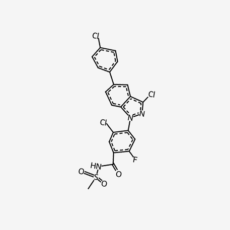 CS(=O)(=O)NC(=O)c1cc(Cl)c(-n2nc(Cl)c3cc(-c4ccc(Cl)cc4)ccc32)cc1F